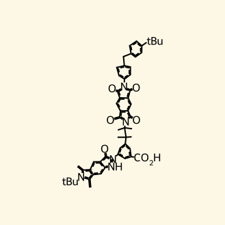 C=c1c2cc3[nH]n(-c4cc(C(=O)O)cc(C(C)(C)C(C)(C)n5c(=O)c6cc7c(=O)n(-c8ccc(Cc9ccc(C(C)(C)C)cc9)cc8)c(=O)c7cc6c5=O)c4)c(=O)c3cc2c(=C)n1C(C)(C)C